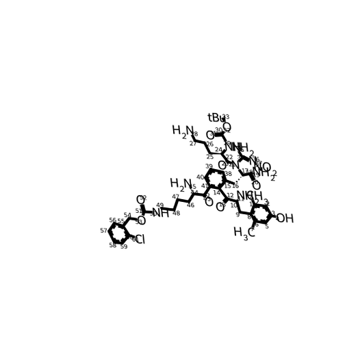 Cc1cc(O)cc(C)c1C[C@H](N)C(=O)c1c(C[C@@H](C(N)=O)N(C(=O)[C@@H](CCCN)NC(=O)OC(C)(C)C)/C(N)=N\[N+](=O)[O-])cccc1C(=O)[C@@H](N)CCCCNC(=O)OCc1ccccc1Cl